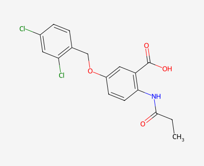 CCC(=O)Nc1ccc(OCc2ccc(Cl)cc2Cl)cc1C(=O)O